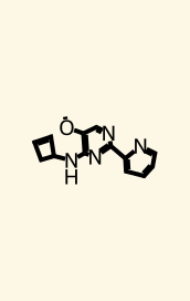 COc1cnc(-c2ccccn2)nc1NC1C=CC1